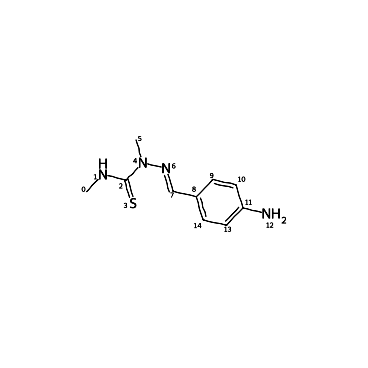 CNC(=S)N(C)N=Cc1ccc(N)cc1